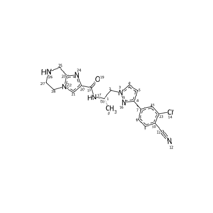 C[C@@H](Cn1ccc(-c2ccc(C#N)c(Cl)c2)n1)NC(=O)c1cn2c(n1)CNCC2